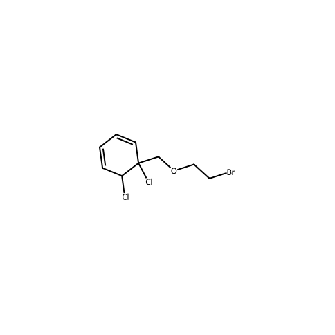 ClC1C=CC=CC1(Cl)COCCBr